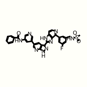 CS(=O)(=O)NCc1cc(F)cc(-c2nccc3[nH]c(-c4n[nH]c5ncc(-c6cncc(NC(=O)c7ccccc7)c6)cc45)nc23)c1